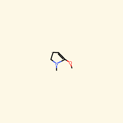 COC1=C[CH]CN1C